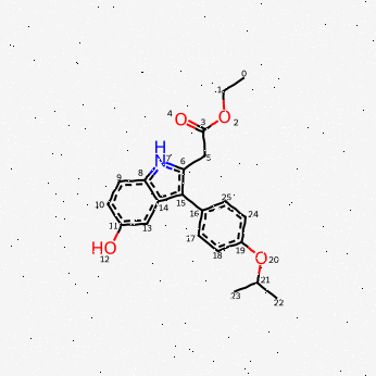 CCOC(=O)Cc1[nH]c2ccc(O)cc2c1-c1ccc(OC(C)C)cc1